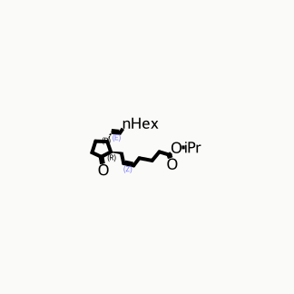 CCCCCC/C=C/[C@H]1CCC(=O)[C@@H]1C/C=C\CCCC(=O)OC(C)C